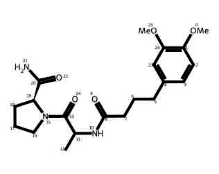 COc1ccc(CCCC(=O)NC(C)C(=O)N2CCC[C@H]2C(N)=O)cc1OC